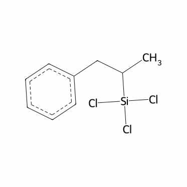 CC(Cc1ccccc1)[Si](Cl)(Cl)Cl